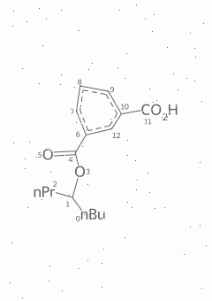 CCCCC(CCC)OC(=O)c1cccc(C(=O)O)c1